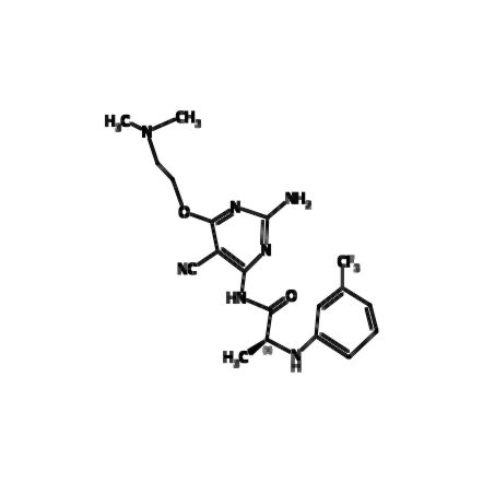 C[C@H](Nc1cccc(C(F)(F)F)c1)C(=O)Nc1nc(N)nc(OCCN(C)C)c1C#N